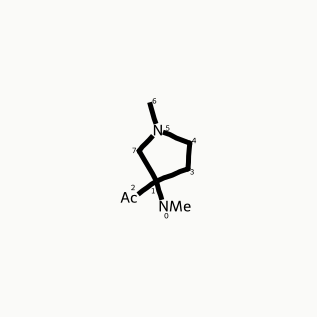 CNC1(C(C)=O)CCN(C)C1